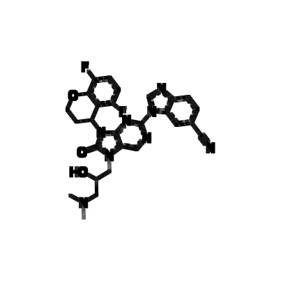 CN(C)CC(O)Cn1c(=O)n(C2CCOc3c(F)ccc(F)c32)c2nc(-n3cnc4ccc(C#N)cc43)ncc21